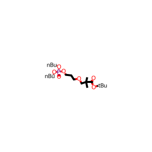 CCCCOP(=O)(OCCCC)OCCCOCC(C)(C)C(=O)OC(C)(C)C